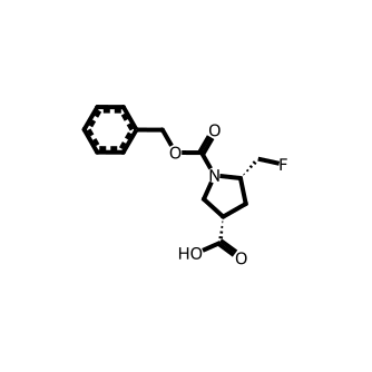 O=C(O)[C@H]1C[C@@H](CF)N(C(=O)OCc2ccccc2)C1